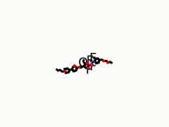 CCCCCCc1ccc(/C(F)=C(\F)c2cc(OC)c(C#Cc3ccc(-c4ccc(CCCC)cc4)cc3)cc2F)c(F)c1